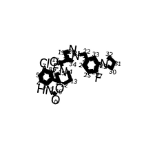 O=C1Nc2ccc(Cl)c(F)c2[C@@]2(CCCN(C(=O)c3cnn(Cc4ccc(F)c(N5CCC5)c4)c3)C2)O1